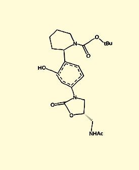 CC(=O)NC[C@H]1CN(c2ccc(C3CCCCN3C(=O)OC(C)(C)C)c(O)c2)C(=O)O1